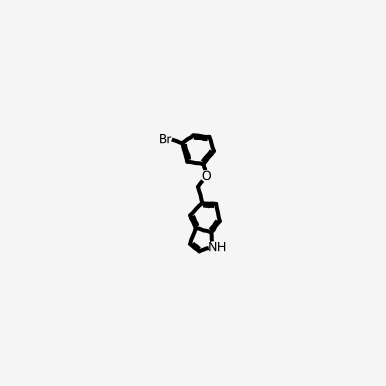 Brc1cccc(OCc2ccc3[nH]ccc3c2)c1